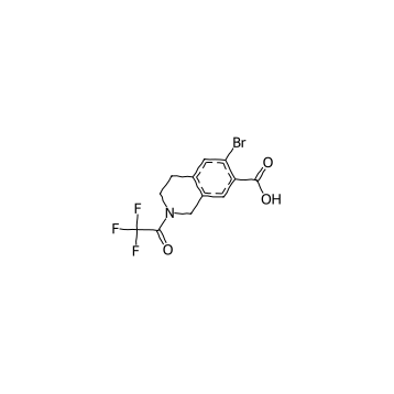 O=C(O)c1cc2c(cc1Br)CCN(C(=O)C(F)(F)F)C2